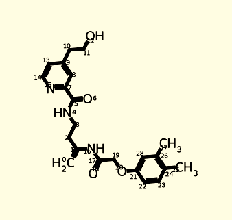 C=C(CCNC(=O)c1cc(CCO)ccn1)NC(=O)COc1ccc(C)c(C)c1